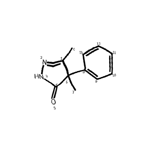 CC1=NNC(=O)C1(C)c1ccccc1